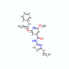 CC(C)Oc1cc(C(=O)Nc2nc(CC(=O)O)cs2)cc(O[C@@H](C)Cc2ccccc2)n1